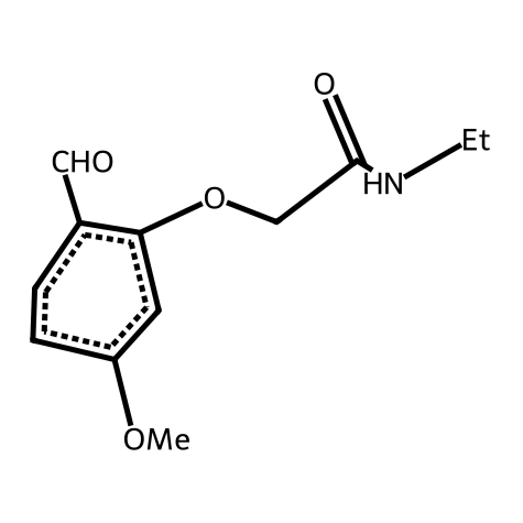 CCNC(=O)COc1cc(OC)ccc1C=O